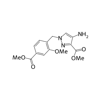 COC(=O)c1ccc(Cn2cc(N)c(C(=O)OC)n2)c(OC)c1